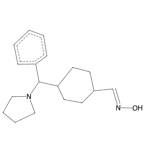 O/N=C/C1CCC(C(c2ccccc2)N2CCCC2)CC1